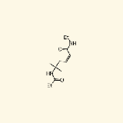 CCNC(=O)/C=C\CC(C)(C)NC(=O)CC